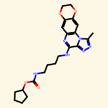 Cc1nnc2c(NCCCCNC(=O)OC3CCCC3)nc3cc4c(cc3n12)OCCO4